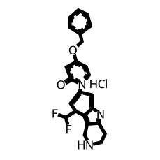 Cl.O=c1cc(OCc2ccccc2)ccn1C1=CC(C(F)F)C2=C3CNCCC3=NC2=C1